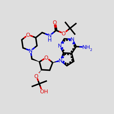 CC(C)(C)OC(=O)NCC1CN(C[C@H]2O[C@@H](n3ccc4c(N)ncnc43)C[C@@H]2OC(C)(C)O)CCO1